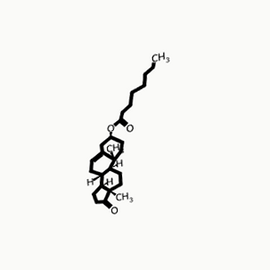 CCCCCCCC(=O)O[C@H]1CC[C@@]2(C)C(=CC[C@@H]3[C@@H]2CC[C@]2(C)C(=O)CC[C@@H]32)C1